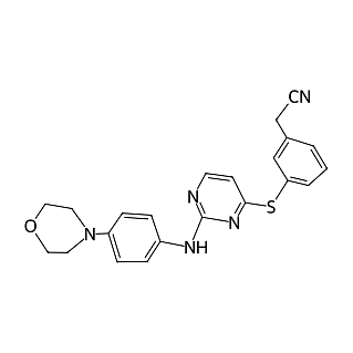 N#CCc1cccc(Sc2ccnc(Nc3ccc(N4CCOCC4)cc3)n2)c1